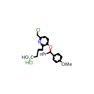 CCCC(Oc1ccc(CCl)nc1C=CCC(=O)O)c1ccc(OC)cc1.Cl